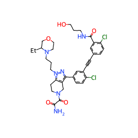 CCC1COCCN1CCCn1nc(-c2ccc(Cl)c(C#Cc3ccc(Cl)c(C(=O)NCCCO)c3)c2)c2c1CCN(C(=O)C(N)=O)C2